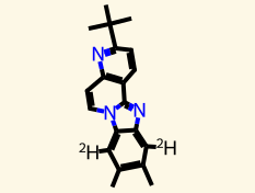 [2H]c1c(C)c(C)c([2H])c2c1nc1c3ccc(C(C)(C)C)nc3ccn12